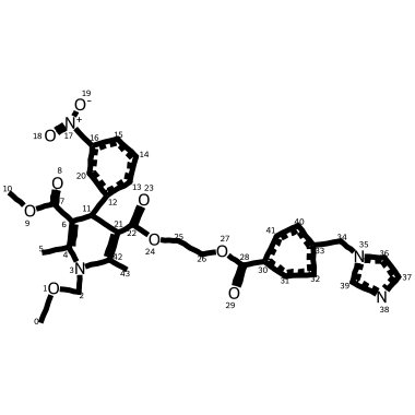 COCN1C(C)=C(C(=O)OC)C(c2cccc([N+](=O)[O-])c2)C(C(=O)OCCOC(=O)c2ccc(Cn3ccnc3)cc2)=C1C